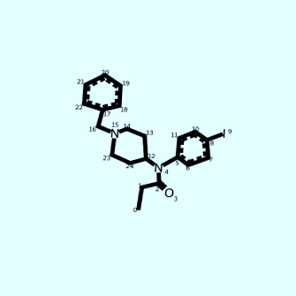 CCC(=O)N(c1ccc(I)cc1)C1CCN(Cc2ccccc2)CC1